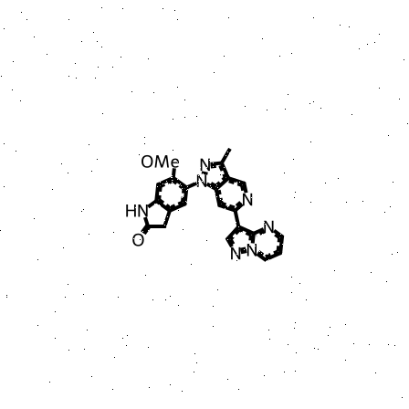 COc1cc2c(cc1-n1nc(C)c3cnc(-c4cnn5cccnc45)cc31)CC(=O)N2